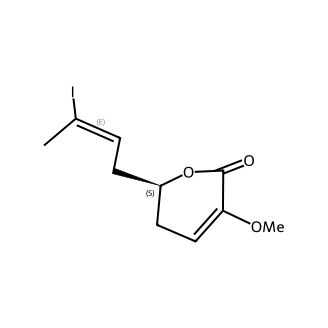 COC1=CC[C@@H](C/C=C(\C)I)OC1=O